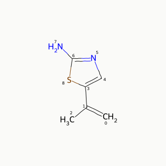 C=C(C)c1cnc(N)s1